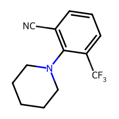 N#Cc1cccc(C(F)(F)F)c1N1CCCCC1